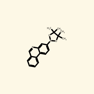 CC1(C)OB(c2ccc3c(c2)ncc2ccccc23)OC1(C)C